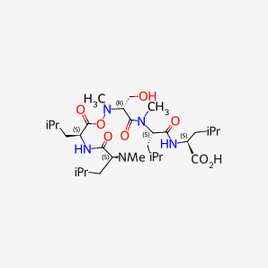 CN[C@@H](CC(C)C)C(=O)N[C@@H](CC(C)C)C(=O)ON(C)[C@H](CO)C(=O)N(C)[C@@H](CC(C)C)C(=O)N[C@@H](CC(C)C)C(=O)O